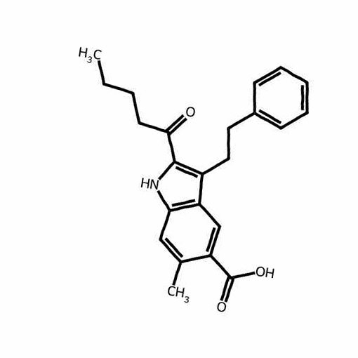 CCCCC(=O)c1[nH]c2cc(C)c(C(=O)O)cc2c1CCc1ccccc1